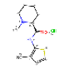 CCCN1CCCC[C@H]1C(=O)Nc1sccc1C#N.Cl